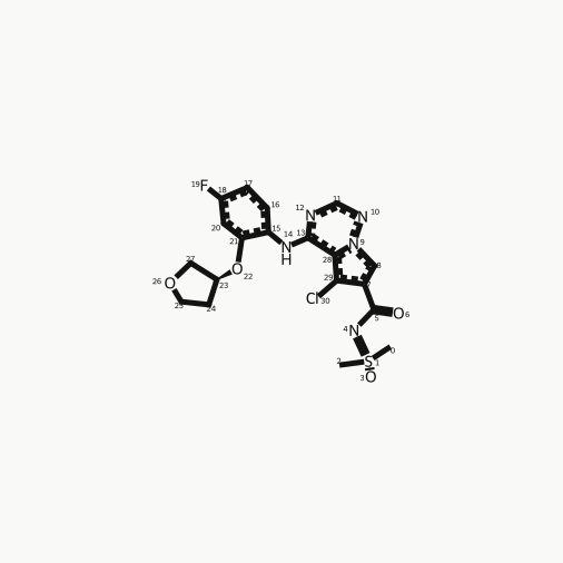 CS(C)(=O)=NC(=O)c1cn2ncnc(Nc3ccc(F)cc3O[C@H]3CCOC3)c2c1Cl